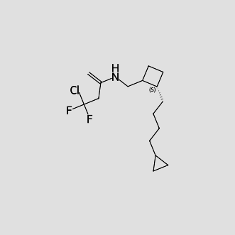 C=C(CC(F)(F)Cl)NCC1CC[C@@H]1CCCCC1CC1